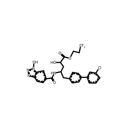 O=C(NC(Cc1ccc(-c2cccc(Cl)c2)cc1)CC(O)C(=O)OCCC(F)(F)F)c1ccc2nnn(O)c2c1